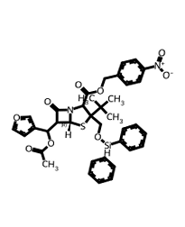 CC(=O)OC(c1ccoc1)C1C(=O)N2C(C(=O)OCc3ccc([N+](=O)[O-])cc3)C(CO[SiH](c3ccccc3)c3ccccc3)(C(C)(C)C)S[C@H]12